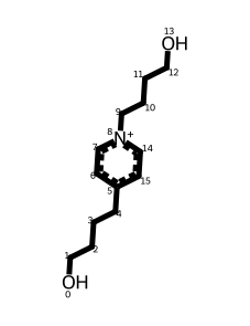 OCCCCc1cc[n+](CCCCO)cc1